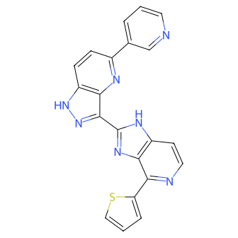 c1cncc(-c2ccc3[nH]nc(-c4nc5c(-c6cccs6)nccc5[nH]4)c3n2)c1